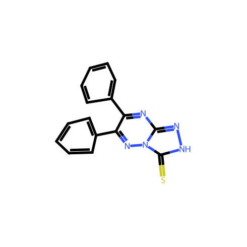 S=c1[nH]nc2nc(-c3ccccc3)c(-c3ccccc3)nn12